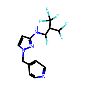 FC(F)C(C(F)Nc1ccn(Cc2ccncc2)n1)C(F)(F)F